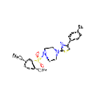 CCc1ccc(-c2csc(N3CCN(S(=O)(=O)c4cc(OC)ccc4OC)CC3)n2)cc1